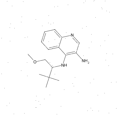 COCC(Nc1c(N)cnc2ccccc12)C(C)(C)C